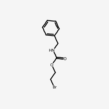 O=C(NCc1ccccc1)OCCBr